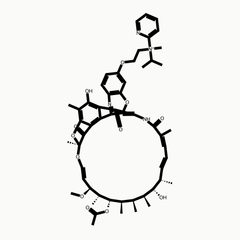 CO[C@H]1/C=C/O[C@@]2(C)Oc3c(C)c(O)c4c(=O)c(c5oc6cc(OCC[N+](C)(c7ccccn7)C(C)C)ccc6nc-5c4c3C2=O)NC(=O)/C(C)=C\C=C\[C@H](C)[C@H](O)[C@@H](C)[C@@H](C)[C@@H](C)[C@H](OC(C)=O)[C@@H]1C